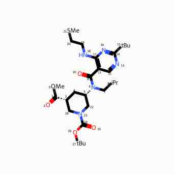 COC(=O)[C@@H]1C[C@H](N(CC(C)C)C(=O)c2cnc(C(C)(C)C)nc2NCCSC)CN(C(=O)OC(C)(C)C)C1